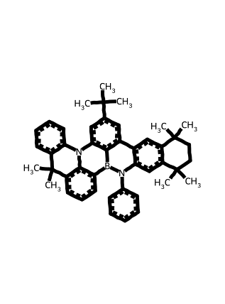 CC(C)(C)c1cc2c3c(c1)N1c4ccccc4C(C)(C)c4cccc(c41)B3N(c1ccccc1)c1cc3c(cc1-2)C(C)(C)CCC3(C)C